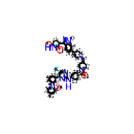 Cn1nc(C2CCC(=O)NC2=O)c2ccc(C3CCN(CC4CCN(C(=O)[C@H]5CC[C@H](Nc6ncc(F)c(-c7cccc(-n8ccccc8=O)c7)n6)CC5)CC4)CC3)cc21